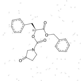 O=C1CCN(C(=O)O[C@@H](Cc2ccccc2)C(=O)OCc2ccccc2)C1